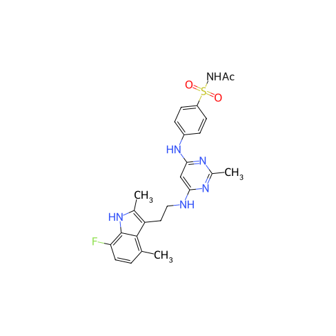 CC(=O)NS(=O)(=O)c1ccc(Nc2cc(NCCc3c(C)[nH]c4c(F)ccc(C)c34)nc(C)n2)cc1